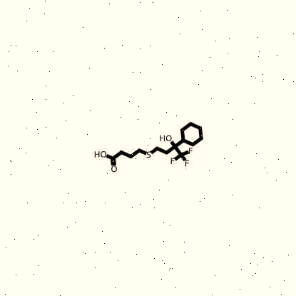 O=C(O)CCCSCCC(O)(C1CCCCC1)C(F)(F)F